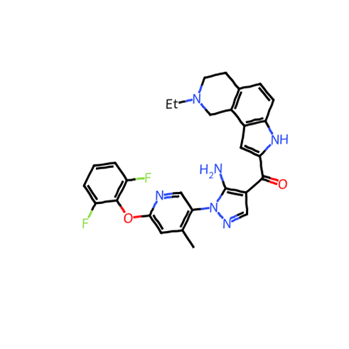 CCN1CCc2ccc3[nH]c(C(=O)c4cnn(-c5cnc(Oc6c(F)cccc6F)cc5C)c4N)cc3c2C1